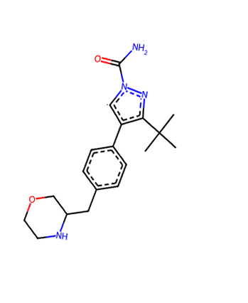 CC(C)(C)c1nn(C(N)=O)[c]c1-c1ccc(CC2COCCN2)cc1